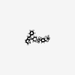 O=S(=O)(c1ccc2c(c1)OC(F)(F)O2)N1CCC(n2c(-c3ccccc3)cc3cccnc32)CC1